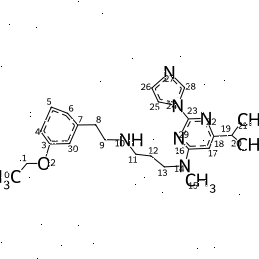 CCOc1cccc(CCNCCCN(C)c2cc(C(C)C)nc(-n3ccnc3)n2)c1